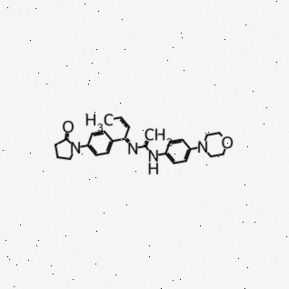 C=C(/N=C(\C=C/C)c1ccc(N2CCCC2=O)cc1)Nc1ccc(N2CCOCC2)cc1